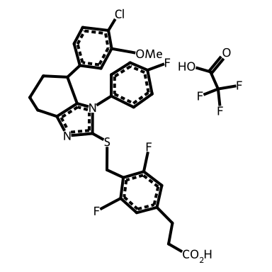 COc1cc(C2CCCc3nc(SCc4c(F)cc(CCC(=O)O)cc4F)n(-c4ccc(F)cc4)c32)ccc1Cl.O=C(O)C(F)(F)F